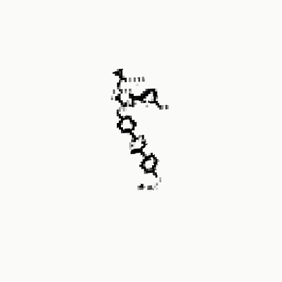 CCCCCCCOc1ccc(-c2cnc(-c3ccc(C[C@H](NC(=O)c4ccc(C(C)(C)C)s4)C(=O)NCC4(C(=O)O)CC4)cc3)nc2)cc1